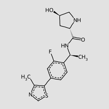 Cc1ncsc1-c1ccc([C@H](C)NC(=O)[C@@H]2C[C@@H](O)CN2)c(F)c1